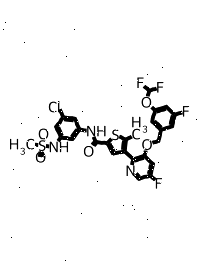 Cc1sc(C(=O)Nc2cc(Cl)cc(NS(C)(=O)=O)c2)cc1-c1ncc(F)cc1OCc1cc(F)cc(OC(F)F)c1